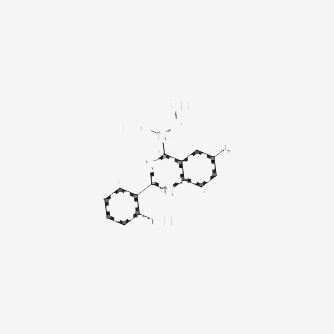 CON(C)c1nc(-c2ccccc2O)nc2ccc(Cl)cc12